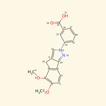 COc1ccc2c(c1OC)Cc1cn(-c3cccc(C(=O)O)c3)nc1-2